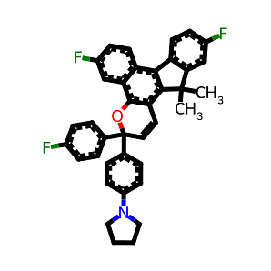 CC1(C)c2cc(F)ccc2-c2c1c1c(c3cc(F)ccc23)OC(c2ccc(F)cc2)(c2ccc(N3CCCC3)cc2)C=C1